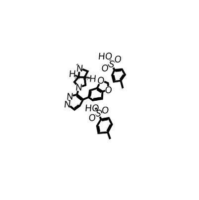 CN1C[C@@H]2CN(c3nnccc3-c3ccc4c(c3)OCO4)C[C@@H]21.Cc1ccc(S(=O)(=O)O)cc1.Cc1ccc(S(=O)(=O)O)cc1